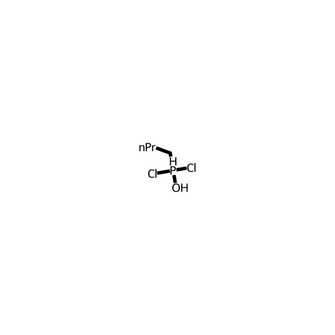 CCCC[PH](O)(Cl)Cl